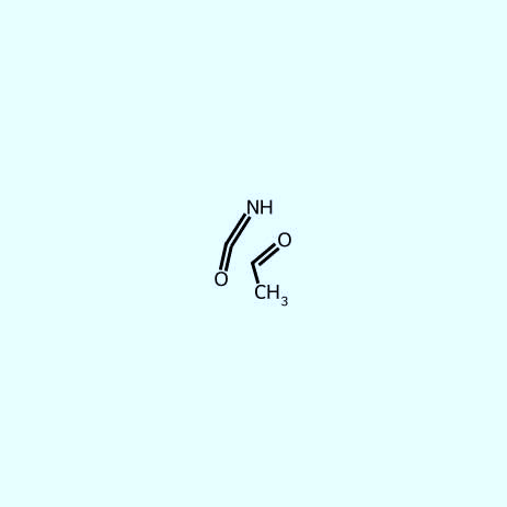 CC=O.N=C=O